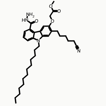 CCCCCCCCCCCCCn1c2cc(CCCCCC#N)c(OCC(=O)OC)cc2c2c(C(=O)NN)cccc21